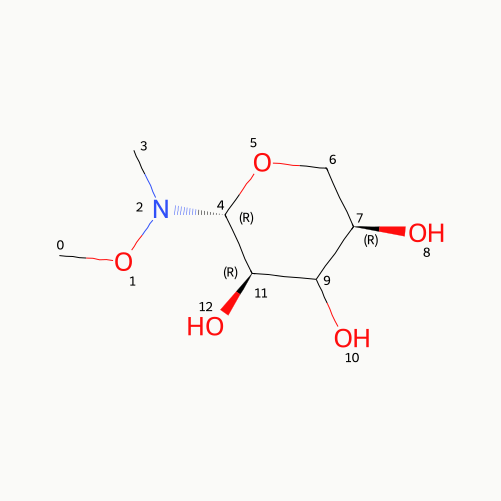 CON(C)[C@@H]1OC[C@@H](O)C(O)[C@H]1O